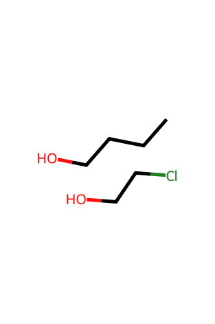 CCCCO.OCCCl